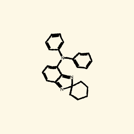 c1ccc(N(c2ccccc2)c2cccc3c2=NC2(CCCCC2)N=3)cc1